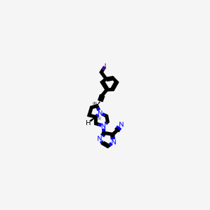 N#Cc1nccnc1N1CCN2[C@@H](CC[C@@H]2C#Cc2cccc(CI)c2)C1